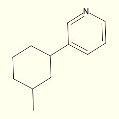 CC1CCCC(c2cccnc2)C1